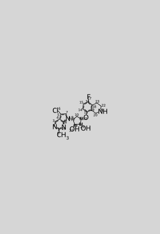 Cc1ncc2c(Cl)cn([C@@H]3C[C@H](Oc4ccc(F)c5c4CNCC5)[C@@H](O)[C@H]3O)c2n1